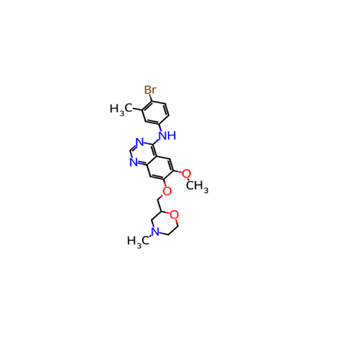 COc1cc2c(Nc3ccc(Br)c(C)c3)ncnc2cc1OCC1CN(C)CCO1